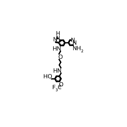 Nc1cc(-c2cc(NCCOCCCCNCc3cc(CO)cc(OC(F)(F)F)c3)c3cn[nH]c3c2)cnn1